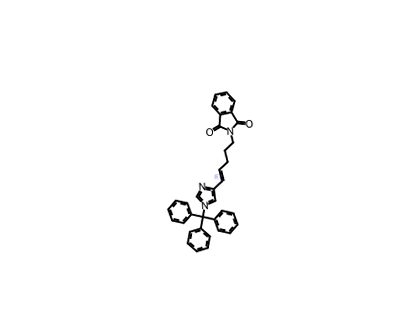 O=C1c2ccccc2C(=O)N1CCC/C=C/c1cn(C(c2ccccc2)(c2ccccc2)c2ccccc2)cn1